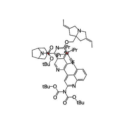 CC=C1CN2CC(=CC)CC2(COc2nc(N3CC4CCC(C3)N4C(=O)OC(C)(C)C)c3cnc(-c4cc(N(C(=O)OC(C)(C)C)C(=O)OC(C)(C)C)nc5cccc(C#C[Si](C(C)C)(C(C)C)C(C)C)c45)c(F)c3n2)C1